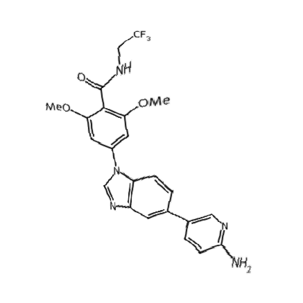 COc1cc(-n2cnc3cc(-c4ccc(N)nc4)ccc32)cc(OC)c1C(=O)NCC(F)(F)F